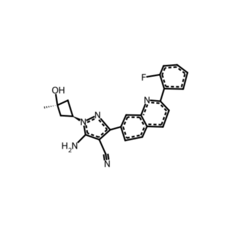 C[C@]1(O)C[C@@H](n2nc(-c3ccc4ccc(-c5ccccc5F)nc4c3)c(C#N)c2N)C1